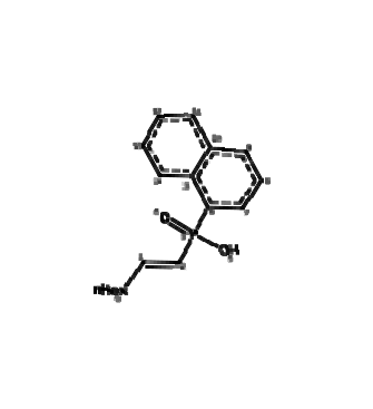 CCCCCCC=CP(=O)(O)c1cccc2ccccc12